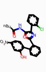 CCCCC(=O)Nc1oc(-c2ccccc2-c2ccc([N+](=O)[O-])cc2O)nc1-c1ccccc1Cl